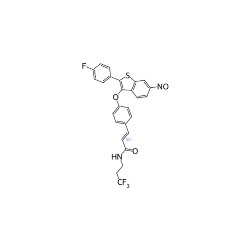 O=Nc1ccc2c(Oc3ccc(/C=C/C(=O)NCCC(F)(F)F)cc3)c(-c3ccc(F)cc3)sc2c1